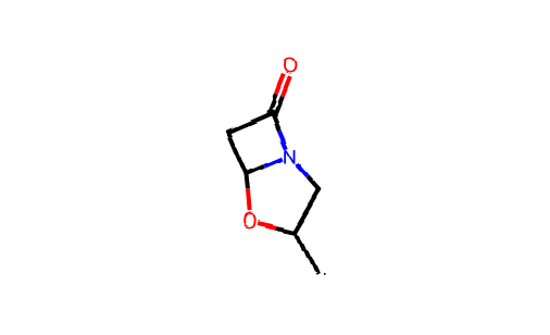 [CH2]C1CN2C(=O)CC2O1